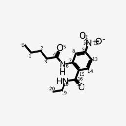 CCCCC(=O)Nc1cc([N+](=O)[O-])ccc1C(=O)NCC